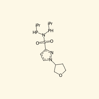 CC(C)PN(PC(C)C)S(=O)(=O)c1ccn(C2CCOC2)n1